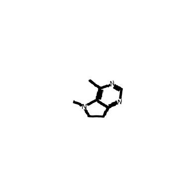 Cc1ncnc2c1N(C)CC2